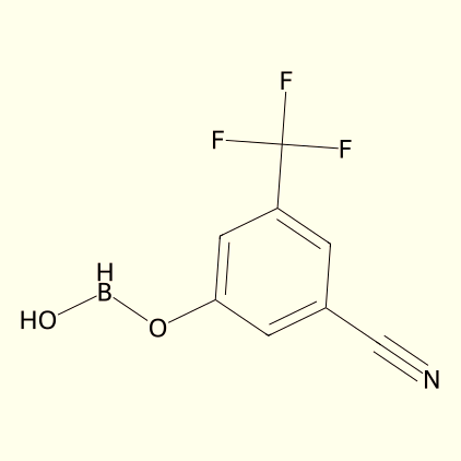 N#Cc1cc(OBO)cc(C(F)(F)F)c1